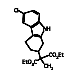 CCOC(=O)C(C)(C(=O)OCC)C1CCc2c([nH]c3ccc(Cl)cc23)C1